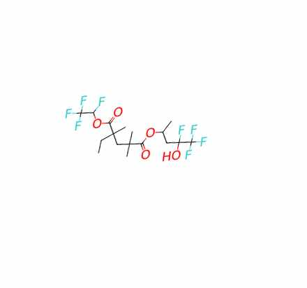 CCC(C)(CC(C)(C)C(=O)OC(C)CC(O)(F)C(F)(F)F)C(=O)OC(F)C(F)(F)F